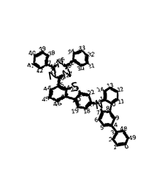 c1ccc(-c2ccc3c(c2)c2ccccc2n3-c2ccc3c(c2)sc2c(-c4nc(-c5ccccc5)nc(-c5ccccc5)n4)cccc23)cc1